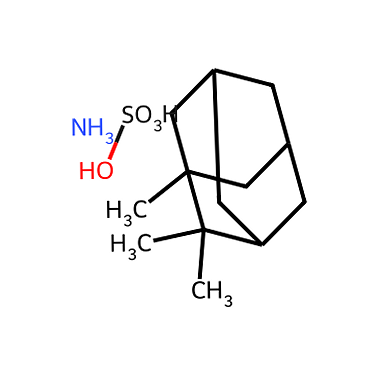 CC12CC3CC(CC(C3)C1(C)C)C2.N.O=S(=O)(O)O